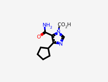 NC(=O)c1c(C2CCCC2)ncn1C(=O)O